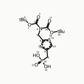 CC(C)(C)OC(=O)N(Cc1nc(CP(=O)(O)O)cs1)C(=O)OC(C)(C)C